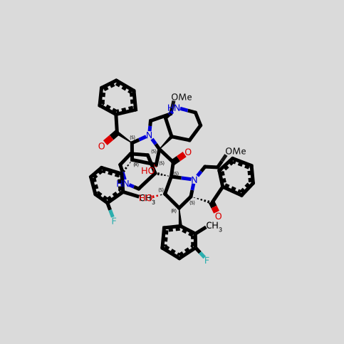 COCCN1[C@H](C(=O)c2ccccc2)[C@@H](c2cccc(F)c2C)[C@H](O)[C@]1(C(=O)[C@]1(C2CCCNC2)[C@@H](O)[C@H](c2cccc(F)c2C)[C@@H](C(=O)c2ccccc2)N1CCOC)C1CCCNC1